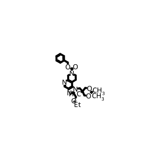 CCOCc1nc2cnc3c(c2n1CC1(C)COC(C)(C)OC1)CCN(C(=O)OCc1ccccc1)C3